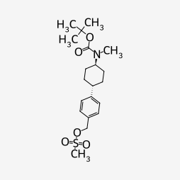 CN(C(=O)OC(C)(C)C)[C@H]1CC[C@H](c2ccc(COS(C)(=O)=O)cc2)CC1